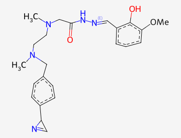 COc1cccc(/C=N/NC(=O)CN(C)CCN(C)Cc2ccc(C3C=N3)cc2)c1O